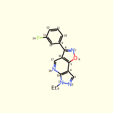 CCn1ncc2c3onc(-c4cccc(F)c4)c3cnc21